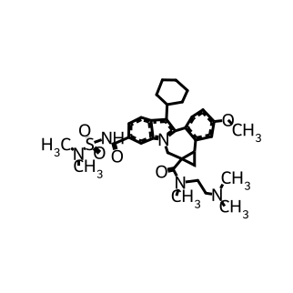 COc1ccc2c(c1)C1CC1(C(=O)N(C)CCN(C)C)Cn1c-2c(C2CCCCC2)c2ccc(C(=O)NS(=O)(=O)N(C)C)cc21